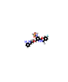 CCCCC(N)(COCc1cc(C(=O)N[C@H](C)c2ccc(F)cc2)cc(N(C)S(C)(=O)=O)c1)Cc1ccccc1